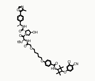 Cc1ncoc1-c1ccc([C@H](C)NC(=O)[C@@H]2C[C@@H](O)CN2C(=O)[C@@H](NC(=O)COCCCCCOc2ccc(C(=O)NC3C(C)(C)C(Oc4ccc(C#N)c(Cl)c4)C3(C)C)cc2)C(C)(C)C)cc1